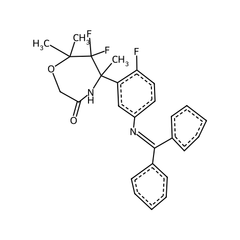 CC1(C)OCC(=O)NC(C)(c2cc(N=C(c3ccccc3)c3ccccc3)ccc2F)C1(F)F